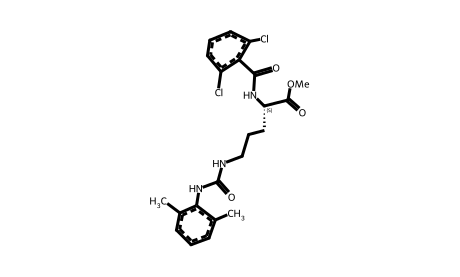 COC(=O)[C@H](CCCNC(=O)Nc1c(C)cccc1C)NC(=O)c1c(Cl)cccc1Cl